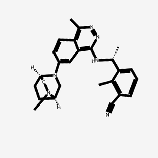 Cc1c(C#N)cccc1[C@@H](C)Nc1nnc(C)c2ccc(N3C[C@H]4CC[C@@H]3CN4C)cc12